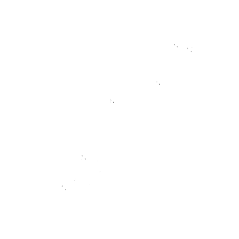 Cc1c2c(nn1C)CCN(Cc1ccnc(-c3ccc4c(c3)CN(C3CCC(=O)NC3=O)C4=O)c1F)C2